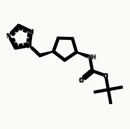 CC(C)(C)OC(=O)N[C@@H]1CC[C@H](Cn2cncn2)C1